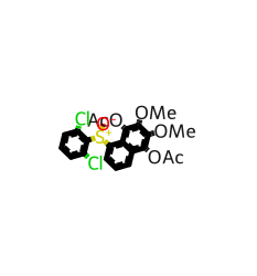 COc1c(OC)c(OC(C)=O)c2c([S+]([O-])c3c(Cl)cccc3Cl)cccc2c1OC(C)=O